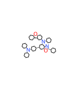 c1ccc(-c2nc3c(N(c4ccccc4)c4ccc5oc6ccccc6c5c4)cc(-c4ccc(N(c5ccccc5)c5ccccc5)cc4)cc3o2)cc1